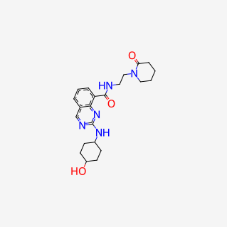 O=C(NCCN1CCCCC1=O)c1cccc2cnc(NC3CCC(O)CC3)nc12